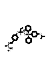 CC[C@@](C)(Oc1ccc(C=NN(C)[PH](C)=S)cc1)[PH](=S)N=P(c1ccccc1)(c1ccccc1)c1ccc(OC(C)C)cc1